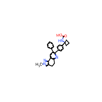 Cn1cc2c(n1)-c1cc(-c3ccccc3)c(-c3ccc(C4(NC(=O)O)CCC4)cc3)nc1CC2